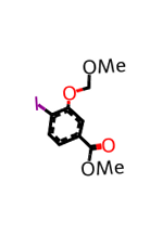 COCOc1cc(C(=O)OC)ccc1I